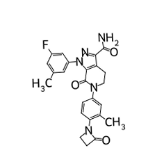 Cc1cc(F)cc(-n2nc(C(N)=O)c3c2C(=O)N(c2ccc(N4CCC4=O)c(C)c2)CC3)c1